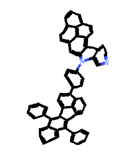 c1ccc(-c2c3c(c(-c4ccccc4)c4ccccc24)-c2ccc(-c4ccc(-n5c6cnccc6c6c7ccc8cccc9ccc(cc65)c7c98)cc4)c4cccc-3c24)cc1